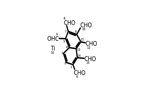 O=Cc1ccc2c(C=O)c(C=O)c(C=O)c(C=O)c2c1C=O.[Ti]